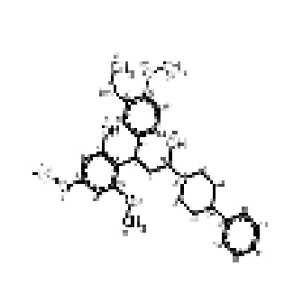 COc1cc(O)c(C(CC(O)N2CCC(c3ccccc3)CC2)c2ccc(OC)c(OC)c2)c(OC)c1